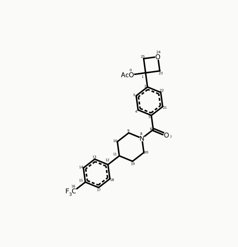 CC(=O)OC1(c2ccc(C(=O)N3CCC(c4ccc(C(F)(F)F)cc4)CC3)cc2)COC1